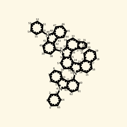 c1ccc(-n2c3ccccc3c3c(-n4c5ccc6ccccc6c5c5c6c7c8ccccc8ccc7n(-c7cccc8c7c7ccccc7n8-c7ccccc7)c6ccc54)cccc32)cc1